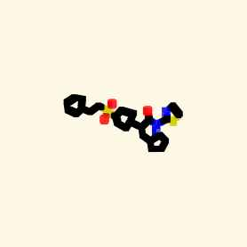 O=C(Nc1nccs1)C(CC1CCCC1)C1C=CC(S(=O)(=O)CCc2ccccc2)=CC1